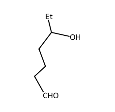 CCC(O)CCCC=O